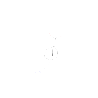 COC(=O)[C@]12CC[C@](CN)(CC1)CC2